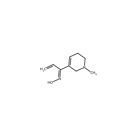 C=CC(=NO)C1=CCCN(C)C1